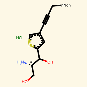 CCCCCCCCCCC#Cc1csc(C(O)[C@@H](N)CO)c1.Cl